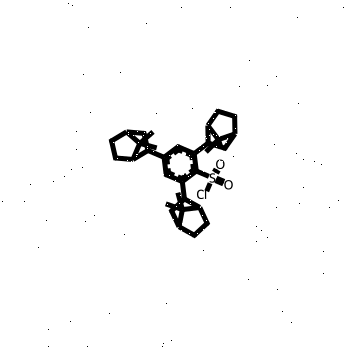 CC1(C)C2CCC1C(c1cc(C3CC4CCC3C4(C)C)c(S(=O)(=O)Cl)c(C3CC4CCC3C4(C)C)c1)C2